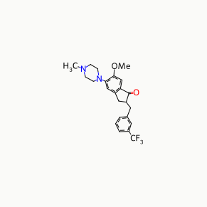 COc1cc2c(cc1N1CCN(C)CC1)CC(Cc1cccc(C(F)(F)F)c1)C2=O